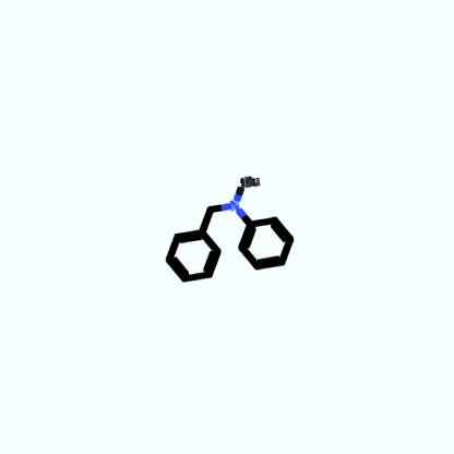 CC(C)(C)N(Cc1ccccc1)c1ccccc1